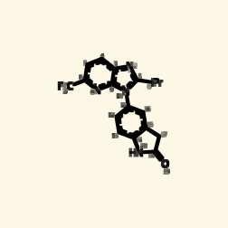 CC(C)c1nc2ccc(C(F)(F)F)nc2n1-c1ccc2c(c1)CC(=O)N2